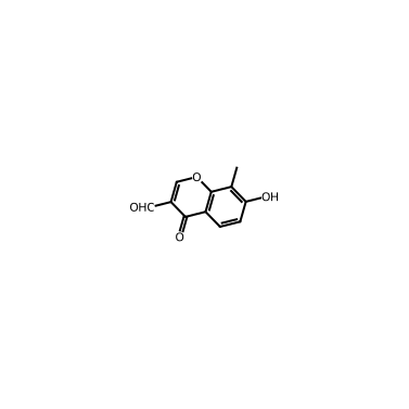 Cc1c(O)ccc2c(=O)c(C=O)coc12